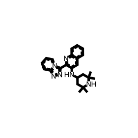 CC1(C)CC(Nc2cc3ccccc3nc2-c2nnc3ccccn23)CC(C)(C)N1